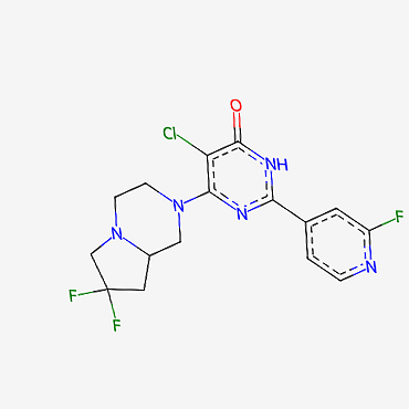 O=c1[nH]c(-c2ccnc(F)c2)nc(N2CCN3CC(F)(F)CC3C2)c1Cl